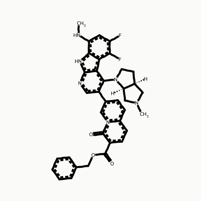 CNc1cc(F)c(F)c2c1[nH]c1ncc(-c3ccc4ccc(C(=O)OCc5ccccc5)c(=O)n4c3)c(N3CC[C@H]4CN(C)C[C@H]43)c12